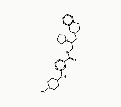 CC(=O)N1CCC(Nc2cc(C(=O)NCC(CN3CCc4ccccc4C3)N3CCCC3)ccn2)CC1